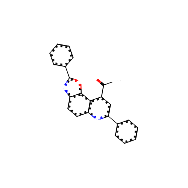 COC(=O)c1cc(-c2ccccc2)nc2ccc3nc(-c4ccccc4)oc3c12